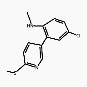 CNc1ccc(Cl)cc1-c1ccc(SC)nc1